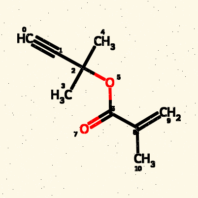 C#CC(C)(C)OC(=O)C(=C)C